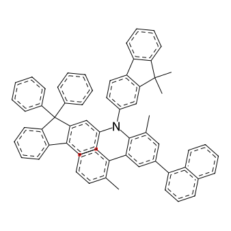 Cc1ccccc1-c1cc(-c2cccc3ccccc23)cc(C)c1N(c1ccc2c(c1)C(C)(C)c1ccccc1-2)c1ccc2c(c1)C(c1ccccc1)(c1ccccc1)c1ccccc1-2